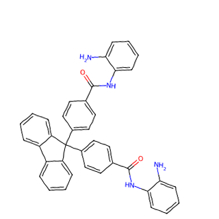 Nc1ccccc1NC(=O)c1ccc(C2(c3ccc(C(=O)Nc4ccccc4N)cc3)c3ccccc3-c3ccccc32)cc1